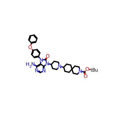 CC(C)(C)OC(=O)N1CCC2(CCC(N3CCC(n4c(=O)n(-c5ccc(Oc6ccccc6)cc5)c5c(N)ncnc54)CC3)CC2)CC1